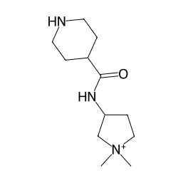 C[N+]1(C)CCC(NC(=O)C2CCNCC2)C1